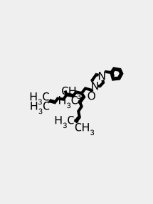 CC(C)=CCC/C(C)=C/CC(/C=C(\C)CCC=C(C)C)CC(=O)N1CCN(Cc2ccccc2)CC1